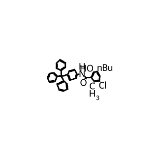 CCCCc1cc(Cl)c(C)c(C(=O)Nc2ccc(C(c3ccccc3)(c3ccccc3)c3ccccc3)cc2)c1O